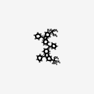 CC(C)(C)c1ccc2c(c1)c1cc(N(c3ccccc3)c3ccc4c(c3)c3cc(C(C)(C)C)ccc3n4-c3ccccc3)ccc1n2-c1ccccc1